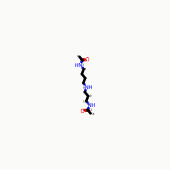 CC(=O)NCCCCNCCCNC(C)=O